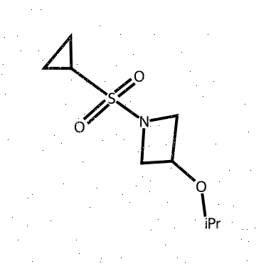 CC(C)OC1CN(S(=O)(=O)C2CC2)C1